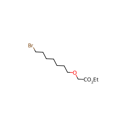 CCOC(=O)COCCCCCCCBr